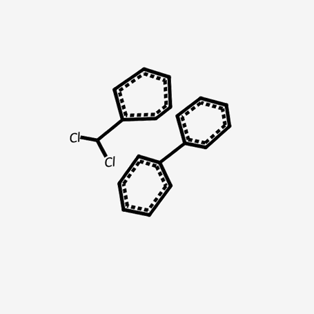 ClC(Cl)c1ccccc1.c1ccc(-c2ccccc2)cc1